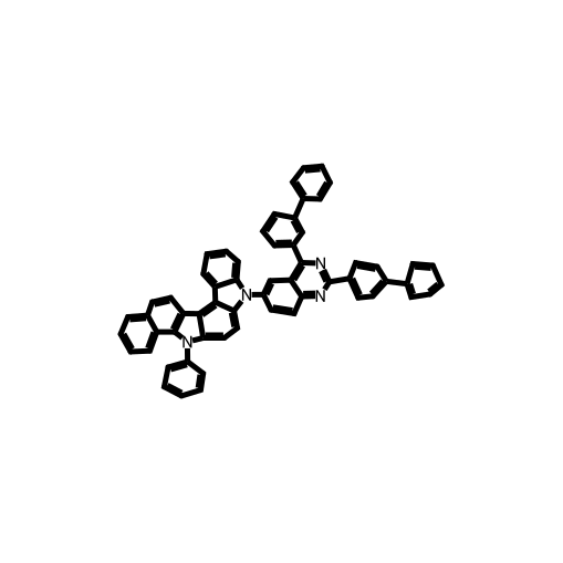 c1ccc(-c2ccc(-c3nc(-c4cccc(-c5ccccc5)c4)c4cc(-n5c6ccccc6c6c7c8ccc9ccccc9c8n(-c8ccccc8)c7ccc65)ccc4n3)cc2)cc1